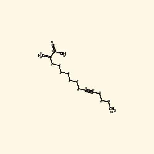 C=C(CCCCCCCC#CCCCC)C(=O)O